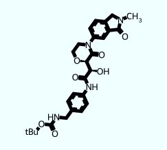 CN1Cc2ccc(N3CCO[C@H]([C@@H](O)C(=O)Nc4ccc(CNC(=O)OC(C)(C)C)cc4)C3=O)cc2C1=O